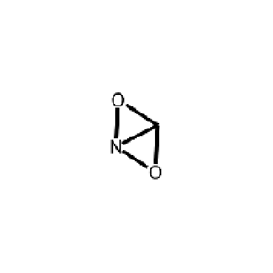 O1C2ON12